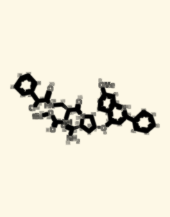 COc1ccc2c(O[C@@H]3C[C@@H](C(N)=O)N(C(=O)[C@H](CNC(=O)C(Cl)c4ccccc4)NC(=O)OC(C)(C)C)C3)cc(-c3ccccc3)nc2c1